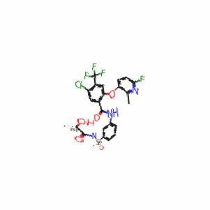 Cc1nc(F)ccc1Oc1cc(C(F)(F)F)c(Cl)cc1C(=O)Nc1cccc([S@@](C)(=O)=NC(=O)[C@H](C)O)c1